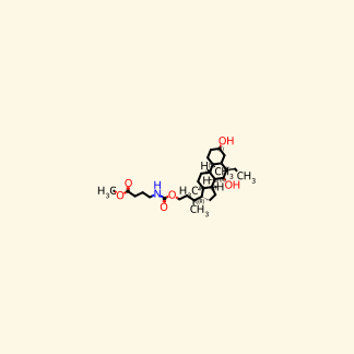 CC[C@@H]1C2C[C@H](O)CC[C@]2(C)[C@H]2CC[C@]3(C)[C@@H]([C@H](C)CCOC(=O)NCCCC(=O)OC)CC[C@H]3[C@@H]2[C@@H]1O